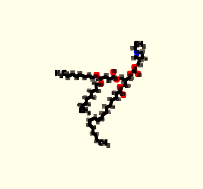 CCCCC/C=C\C/C=C\CCCCCCCC(=O)OCC(COC(=O)CCC(OCCCCCCCC)OCCCCCCCC)COC(=O)OCC1CCN(CC)C1